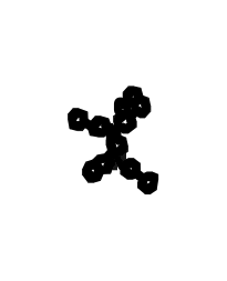 c1ccc(-c2ccc(N(c3ccc4c(c3)Oc3cccc5cccc-4c35)c3ccc4c(c3)c3cc5ccccc5cc3n4-c3ccc(-c4ccccc4)cc3)cc2)cc1